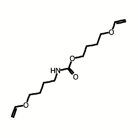 C=COCCCCNC(=O)OCCCCOC=C